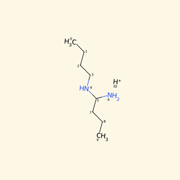 CCCCNC(N)CCC.[H+]